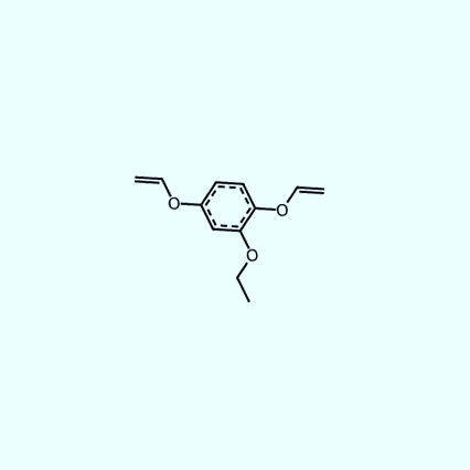 C=COc1ccc(OC=C)c(OCC)c1